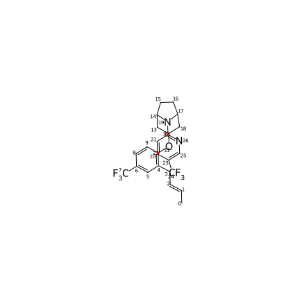 CC=CCc1cc(C(F)(F)F)ccc1OC1CC2CCC(C1)N2c1ccc(C(F)(F)F)cn1